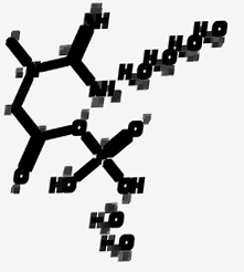 CN(CC(=O)OP(=O)(O)O)C(=N)N.O.O.O.O.O.O